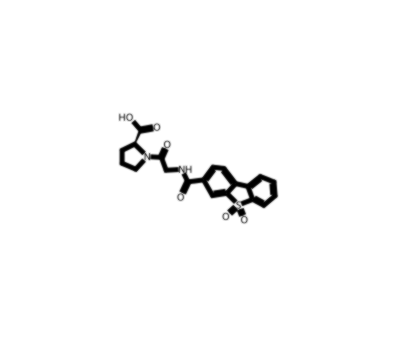 O=C(NCC(=O)N1CCC[C@H]1C(=O)O)c1ccc2c(c1)S(=O)(=O)c1ccccc1-2